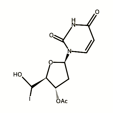 CC(=O)O[C@H]1C[C@H](n2ccc(=O)[nH]c2=O)O[C@@H]1C(O)I